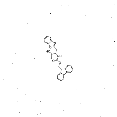 O=C(N[C@@H](Cc1nc2ccccc2o1)C(=O)O)OCC1c2ccccc2-c2ccccc21